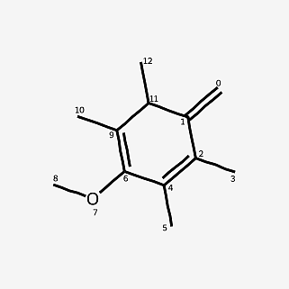 C=C1C(C)=C(C)C(OC)=C(C)C1C